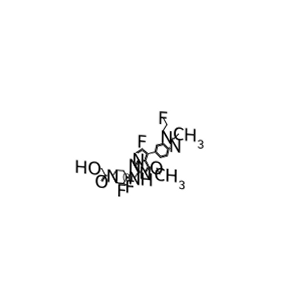 COc1nc(N[C@@H]2CCN(C(=O)CO)CC2(F)F)nn2cc(F)c(-c3ccc4nc(C)n(CCF)c4c3)c12